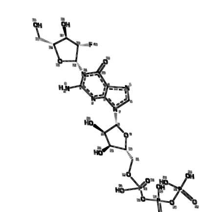 Nc1nc2c(ncn2[C@@H]2O[C@H](COP(=O)(O)OP(=O)(O)OP(=O)(O)O)[C@@H](O)[C@H]2O)c(=O)n1[C@@H]1O[C@H](CO)[C@@H](O)[C@@H]1F